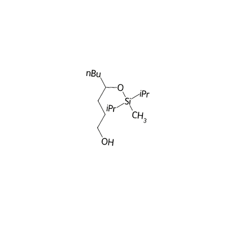 CCCCC(CCCO)O[Si](C)(C(C)C)C(C)C